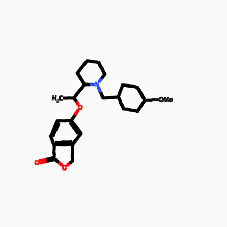 COC1CCC(CN2CCCCC2C(C)Oc2ccc3c(c2)COC3=O)CC1